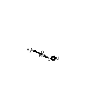 NCCCCCC(=O)NOCCOc1ccc(Cl)cc1